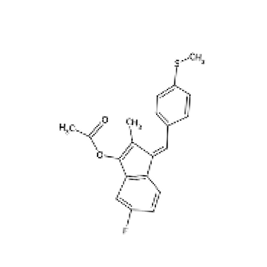 CSc1ccc(C=C2C(C)=C(OC(C)=O)c3cc(F)ccc32)cc1